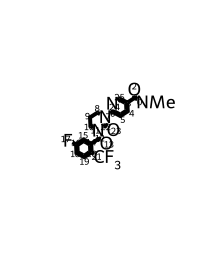 CNC(=O)c1ccc(N2CCCN(C(=O)c3cc(F)ccc3C(F)(F)F)C2=O)nc1